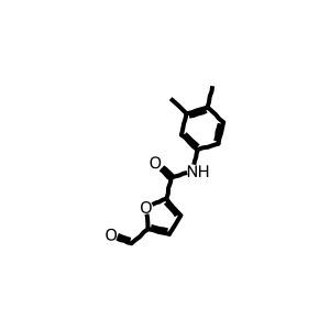 Cc1ccc(NC(=O)c2ccc(C=O)o2)cc1C